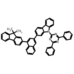 CC1(C)c2ccccc2-c2ccc(-c3cc(-c4ccc5c6ccccc6n(-c6nc(-c7ccccc7)nc(-c7ccccc7)n6)c5c4)cc4ccccc34)cc21